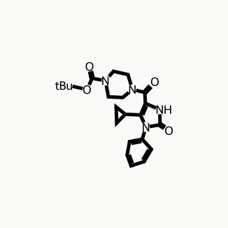 CC(C)(C)OC(=O)N1CCN(C(=O)c2[nH]c(=O)n(-c3ccccc3)c2C2CC2)CC1